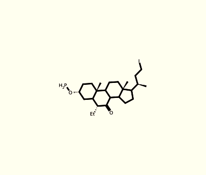 CC[C@H]1C(=O)C2C3CCC([C@H](C)CCI)[C@@]3(C)CCC2[C@@]2(C)CC[C@@H](OP)CC12